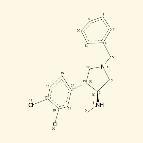 CN[C@@H]1CN(Cc2ccccc2)C[C@H]1c1ccc(Cl)c(Cl)c1